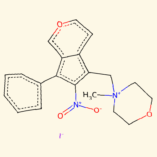 C[N+]1(Cc2c3ccocc-3c(-c3ccccc3)c2[N+](=O)[O-])CCOCC1.[I-]